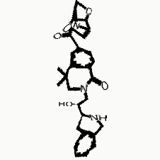 CC1(C)CN(C[C@@H](O)[C@@H]2Cc3ccccc3CN2)C(=O)c2ccc(C(=O)N3C4COC5C4OCC53)cc21